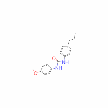 CCCc1ccc(NC(=O)Nc2ccc(OC)cc2)cc1